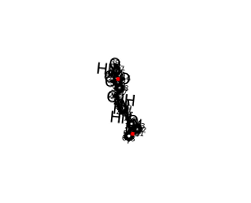 O=C(Cn1c2ccccc2c2cccnc21)NCc1cnc(CNC(=O)c2ccc3c(c2)C(=O)N(C2CCC(=O)NC2=O)C3=O)nc1